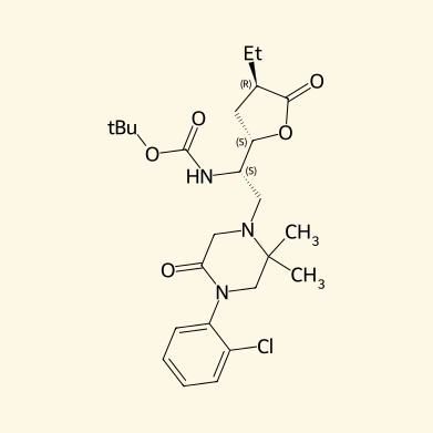 CC[C@@H]1C[C@@H]([C@H](CN2CC(=O)N(c3ccccc3Cl)CC2(C)C)NC(=O)OC(C)(C)C)OC1=O